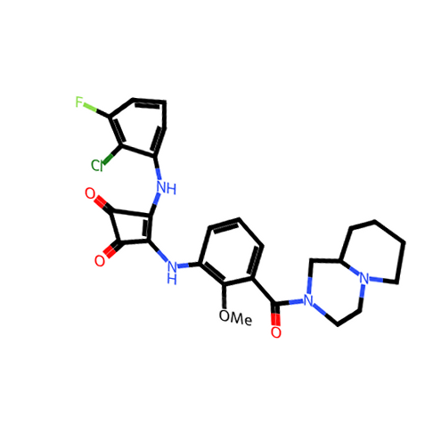 COc1c(Nc2c(Nc3cccc(F)c3Cl)c(=O)c2=O)cccc1C(=O)N1CCN2CCCCC2C1